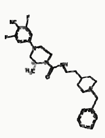 C[C@@H]1CN(c2cc(F)c(C#N)c(F)c2)CCN1C(=O)NCCC1CCN(Cc2ccccc2)CC1